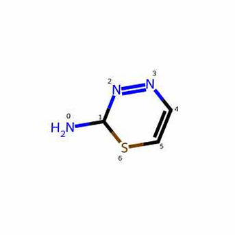 NC1N=NC=CS1